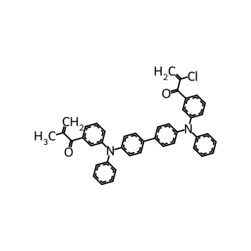 C=C(C)C(=O)c1cccc(N(c2ccccc2)c2ccc(-c3ccc(N(c4ccccc4)c4cccc(C(=O)C(=C)Cl)c4)cc3)cc2)c1